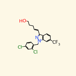 OCCCC=Cc1nn(Cc2ccc(Cl)cc2Cl)c2cc(C(F)(F)F)ccc12